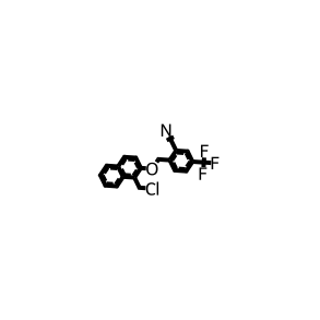 N#Cc1cc(C(F)(F)F)ccc1COc1ccc2ccccc2c1CCl